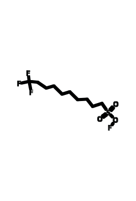 O=S(=O)(CCCCCCCCCC(F)(F)F)OF